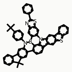 CC(C)(C)c1ccc(N2B3c4cc5nc(-c6ccccc6)sc5cc4-n4c5cc6c(cc5c5ccc(c3c54)-c3cc4c(cc32)-c2ccccc2C4(C)C)sc2ccccc26)cc1